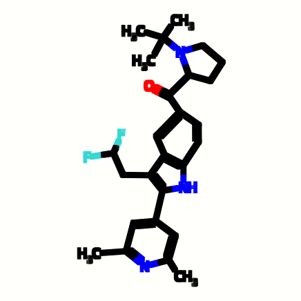 Cc1cc(-c2[nH]c3ccc(C(=O)C4CCCN4C(C)(C)C)cc3c2CC(F)F)cc(C)n1